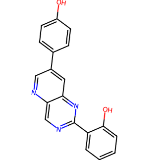 Oc1ccc(-c2cnc3cnc(-c4ccccc4O)nc3c2)cc1